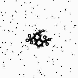 O=S(=O)([O-])c1cccc2c(S(=O)(=O)[O-])cccc12.[Sr+2]